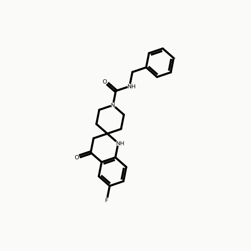 O=C1CC2(CCN(C(=O)NCc3cc[c]cc3)CC2)Nc2ccc(F)cc21